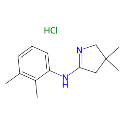 Cc1cccc(NC2=NCC(C)(C)C2)c1C.Cl